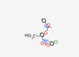 Cc1oc(-c2ccccc2)nc1CCOc1ccc(CCC(=O)O)c(CNC(=O)C(C)(C)Oc2ccc(Cl)cc2)c1